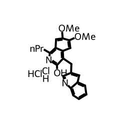 CCCc1nc(O)c(Cc2cnc3ccccc3c2)c2cc(OC)c(OC)cc12.Cl.Cl